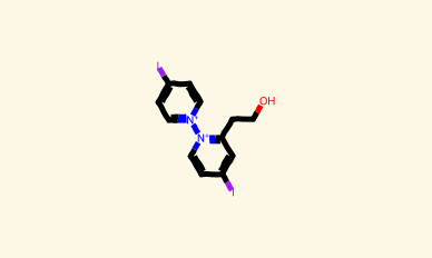 OCCc1cc(I)cc[n+]1-[n+]1ccc(I)cc1